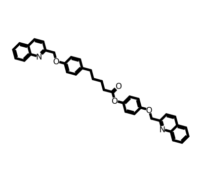 O=C(CCCCc1ccc(OCc2ccc3ccccc3n2)cc1)Oc1ccc(OCc2ccc3ccccc3n2)cc1